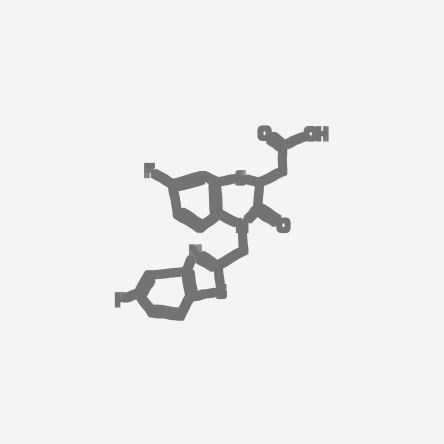 O=C(O)CC1Sc2cc(F)ccc2N(Cc2nc3cc(F)ccc3s2)C1=O